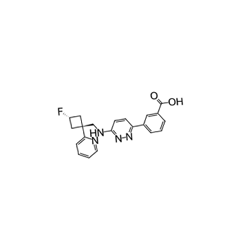 O=C(O)c1cccc(-c2ccc(NC[C@]3(c4ccccn4)C[C@@H](F)C3)nn2)c1